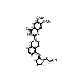 COc1cc2nc(N3CCc4c(cccc4/N=C4\CCCN4CCC#N)C3)[nH]c(=O)c2cc1OC